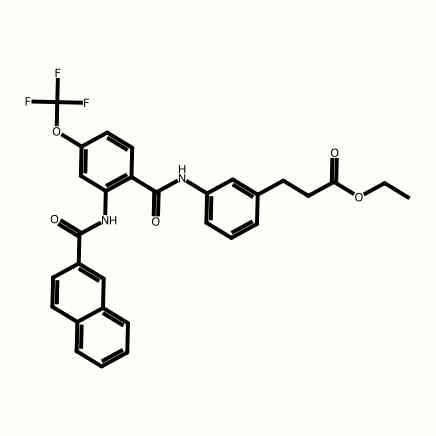 CCOC(=O)CCc1cccc(NC(=O)c2ccc(OC(F)(F)F)cc2NC(=O)c2ccc3ccccc3c2)c1